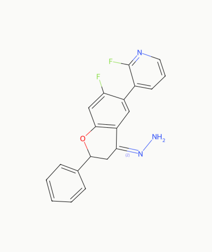 N/N=C1/CC(c2ccccc2)Oc2cc(F)c(-c3cccnc3F)cc21